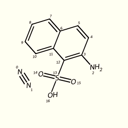 N#N.Nc1ccc2ccccc2c1S(=O)(=O)O